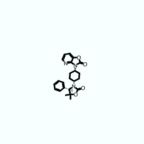 CC1(C)OC(=O)N([C@H]2CC[C@H](n3c(=O)oc4cccnc43)CC2)[C@H]1c1ccccc1